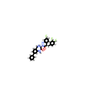 CN1C(=O)[C@@H](NC(=O)[C@H](Cc2ccc(F)c(F)c2)c2ccc(F)cc2)N=Cc2ccc(-c3ccccc3)cc21